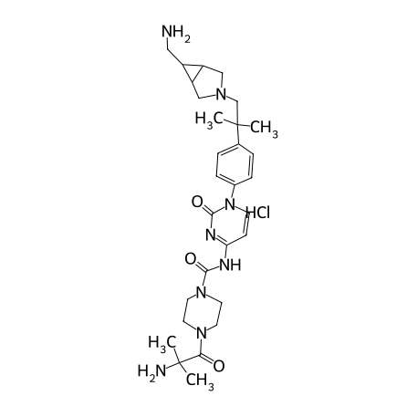 CC(C)(N)C(=O)N1CCN(C(=O)Nc2ccn(-c3ccc(C(C)(C)CN4CC5C(CN)C5C4)cc3)c(=O)n2)CC1.Cl